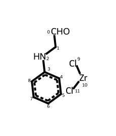 O=CCNc1ccccc1.[Cl][Zr][Cl]